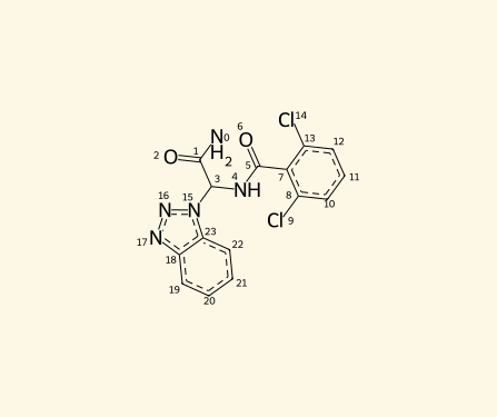 NC(=O)C(NC(=O)c1c(Cl)cccc1Cl)n1nnc2ccccc21